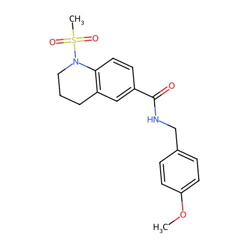 COc1ccc(CNC(=O)c2ccc3c(c2)CCCN3S(C)(=O)=O)cc1